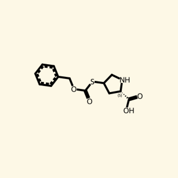 O=C(OCc1ccccc1)SC1CN[C@H](C(=O)O)C1